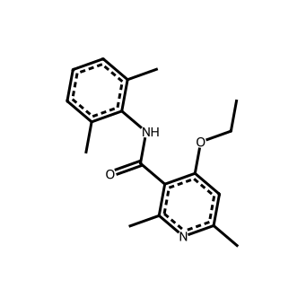 CCOc1cc(C)nc(C)c1C(=O)Nc1c(C)cccc1C